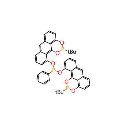 CC(C)(C)P1Oc2cccc3cc4cccc(OP(Oc5cccc6cc7cccc8c7c(c56)OP(C(C)(C)C)O8)c5ccccc5)c4c(c23)O1